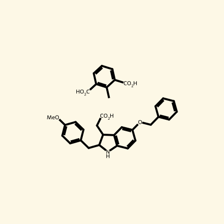 COc1ccc(CC2Nc3ccc(OCc4ccccc4)cc3C2CC(=O)O)cc1.Cc1c(C(=O)O)cccc1C(=O)O